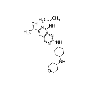 CC(C)Nc1nc(C(C)C)cc2cnc(N[C@H]3CC[C@H](NC4CCOCC4)CC3)nc12